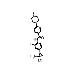 CC[C@@]1(N)C[C@H]1c1ccc(NC(=O)c2ccc(N3CCN(C)CC3)cc2)c(F)c1